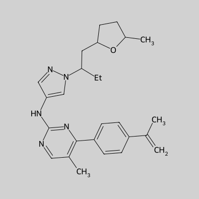 C=C(C)c1ccc(-c2nc(Nc3cnn(C(CC)CC4CCC(C)O4)c3)ncc2C)cc1